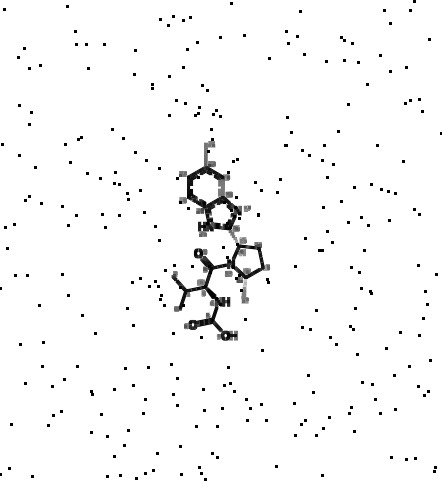 CC(C)[C@H](NC(=O)O)C(=O)N1[C@@H](C)CC[C@H]1c1nc2cc(I)ccc2[nH]1